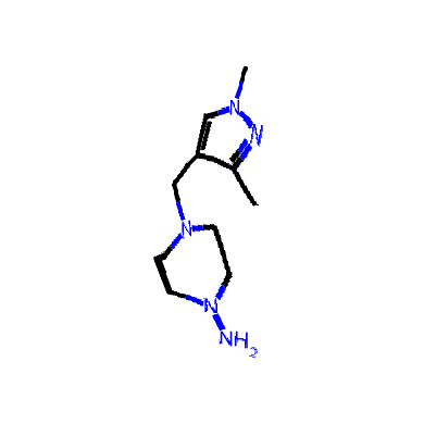 Cc1nn(C)cc1CN1CCN(N)CC1